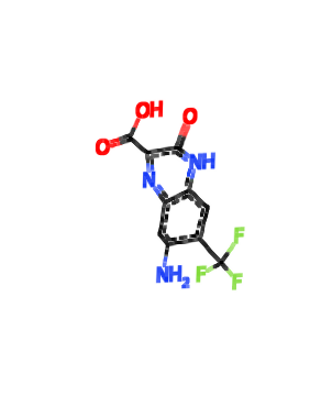 Nc1cc2nc(C(=O)O)c(=O)[nH]c2cc1C(F)(F)F